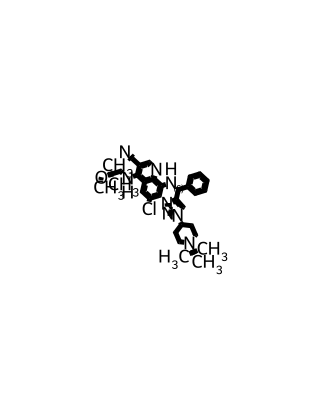 COC(C)(C)CNc1c(C#N)cnc2c(N[C@@H](c3ccccc3)c3cn(C4CCN(C(C)(C)C)CC4)nn3)cc(Cl)cc12